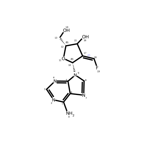 Nc1ncnc2c1ncn2[C@@H]1O[C@H](CO)C(O)/C1=C/F